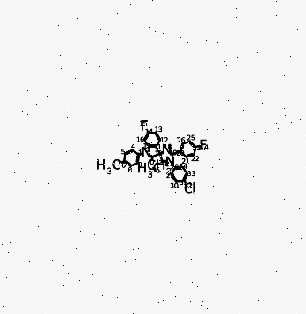 C/C(=N\c1ccc(C)cc1)C1(c2ccc(F)cc2)N=C(c2ccc(F)cc2)N(c2ccc(Cl)cc2)C1C